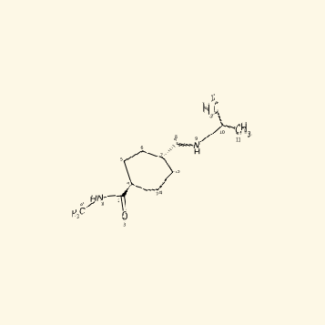 CNC(=O)[C@H]1CC[C@H](CNC(C)C)CC1